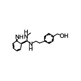 CN/C(NCCc1ccc(CO)cc1)=C1/C=CC=CC1=N